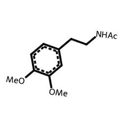 COc1ccc(CCNC(C)=O)cc1OC